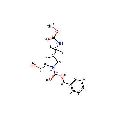 CC(C)(C)OC(=O)NC(C)(C)[C@H]1C[C@@H](CO)N(C(=O)OCc2ccccc2)C1